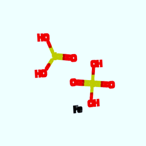 O=S(=O)(O)O.O=S(O)O.[Fe]